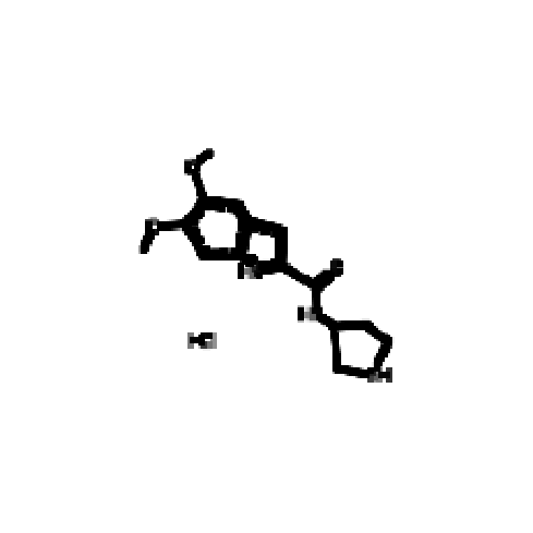 COc1cc2cc(C(=O)NC3CCNC3)[nH]c2cc1OC.Cl